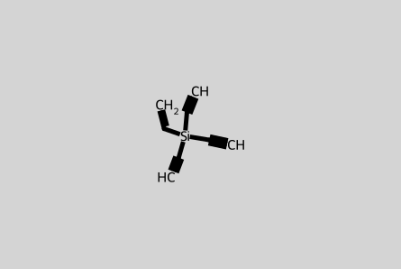 C#C[Si](C#C)(C#C)C=C